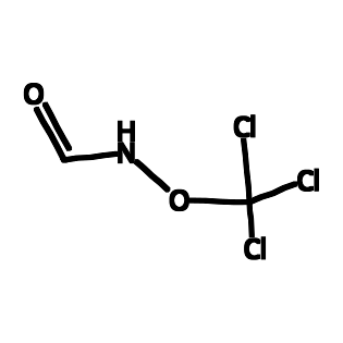 O=CNOC(Cl)(Cl)Cl